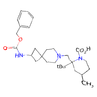 CC1CCN(C(=O)O)C(CN2CCC3(CC2)CC(NC(=O)OCc2ccccc2)C3)(C(C)(C)C)C1